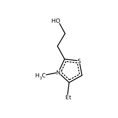 CCc1csc(CCO)[n+]1C